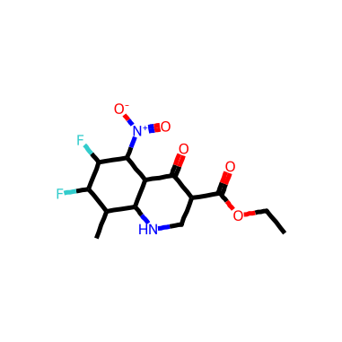 CCOC(=O)C1CNC2C(C)C(F)C(F)C([N+](=O)[O-])C2C1=O